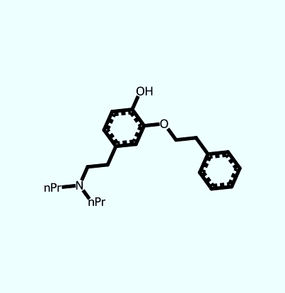 CCCN(CCC)CCc1ccc(O)c(OCCc2ccccc2)c1